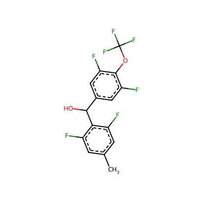 Cc1cc(F)c(C(O)c2cc(F)c(OC(F)(F)F)c(F)c2)c(F)c1